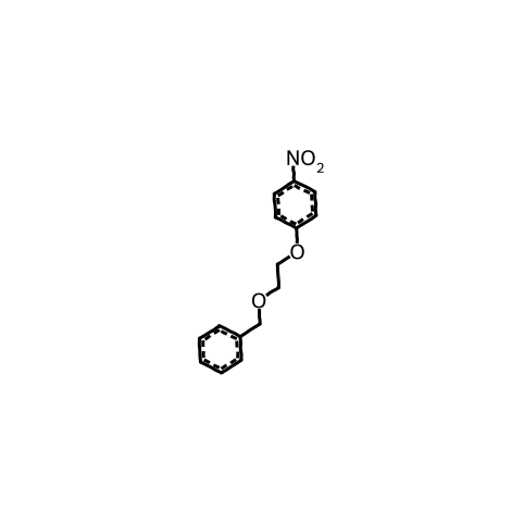 O=[N+]([O-])c1ccc(OCCOCc2ccccc2)cc1